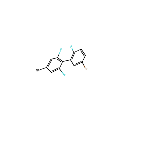 N#Cc1cc(F)c(-c2cc(Br)[c]cc2F)c(F)c1